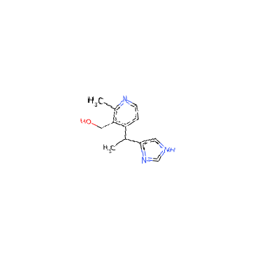 Cc1nccc(C(C)c2c[nH]cn2)c1CO